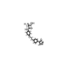 Cc1noc(C)c1-c1ccc(CCOc2ccc(NC(=O)[C@@](C)(N)CO)cc2)cc1